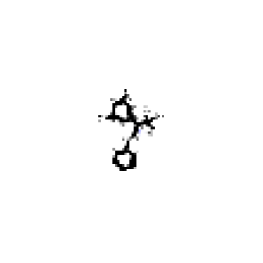 FC(F)(F)/C(=C/Sc1ccccc1)c1cc(Cl)cc(Cl)c1